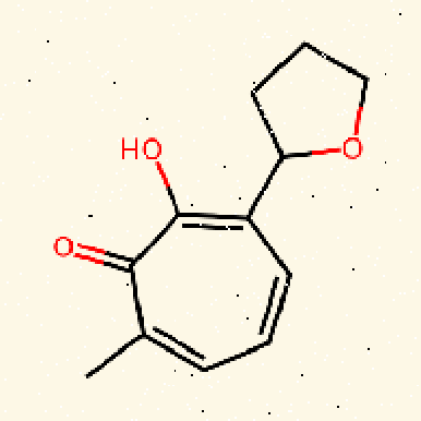 Cc1cccc(C2CCCO2)c(O)c1=O